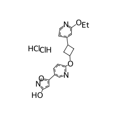 CCOc1cc(C2CC(Oc3ccc(-c4cc(O)no4)cn3)C2)ccn1.Cl.Cl